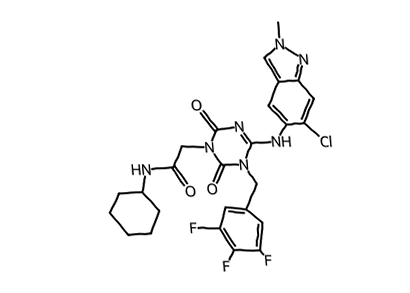 Cn1cc2cc(Nc3nc(=O)n(CC(=O)NC4CCCCC4)c(=O)n3Cc3cc(F)c(F)c(F)c3)c(Cl)cc2n1